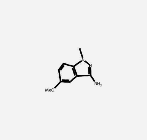 COc1ccc2c(c1)c(N)nn2C